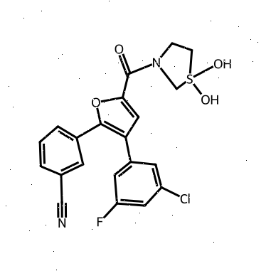 N#Cc1cccc(-c2oc(C(=O)N3CCS(O)(O)C3)cc2-c2cc(F)cc(Cl)c2)c1